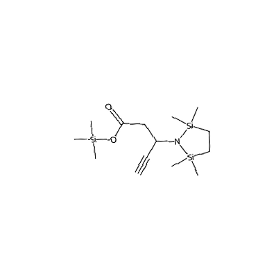 C#CC(CC(=O)O[Si](C)(C)C)N1[Si](C)(C)CC[Si]1(C)C